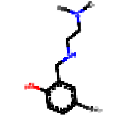 CCN(CC)CCNCc1cc([N+](=O)[O-])ccc1O